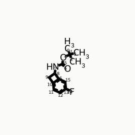 CC(C)(C)OC(=O)NC1Cc2ccc(F)cc21